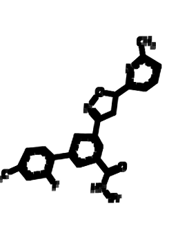 Cc1ccc(-c2cc(C(=O)NC(C)C)cc(C3=NOC(c4cccc(C)n4)C3)c2)c(F)c1